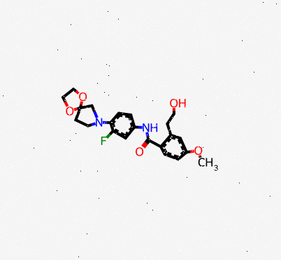 COc1ccc(C(=O)Nc2ccc(N3CCC4(C3)OCCO4)c(F)c2)c(CCO)c1